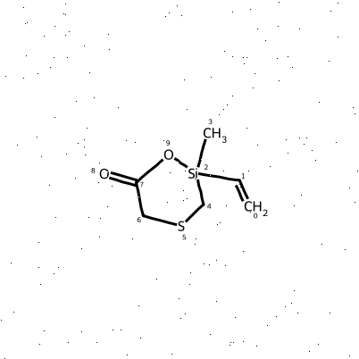 C=C[Si]1(C)CSCC(=O)O1